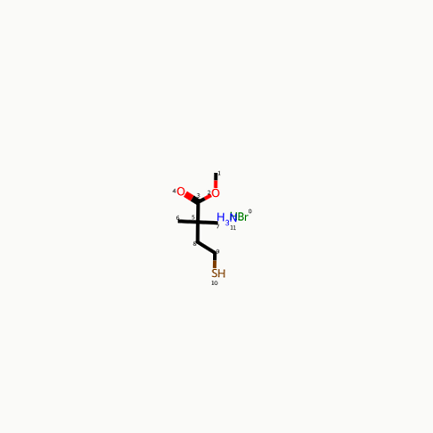 Br.COC(=O)C(C)(C)CCS.N